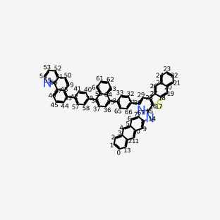 c1ccc2cc3cc4c(cc3cc2c1)nc1c2sc3cc5ccccc5cc3c2cc(-c2ccc(-c3ccc(-c5ccc(-c6cccc7c6ccc6cccnc67)cc5)c5ccccc35)cc2)n41